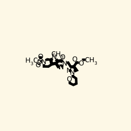 CCOC(=O)c1cn(C2CCCCO2)nc1Cn1ncc2c3c(n(C)c2c1=O)CN(S(C)(=O)=O)CC3